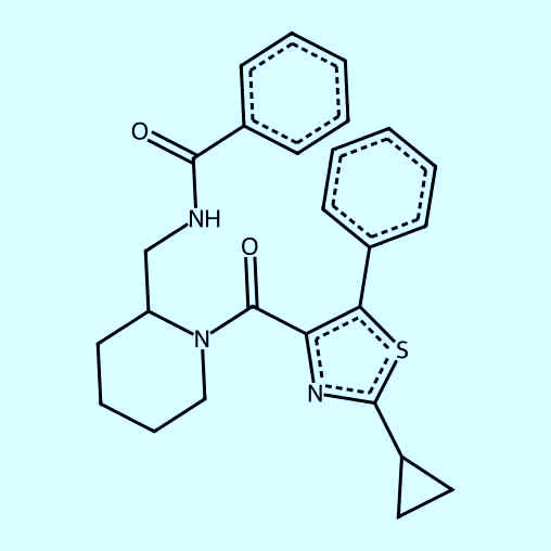 O=C(NCC1CCCCN1C(=O)c1nc(C2CC2)sc1-c1ccccc1)c1ccccc1